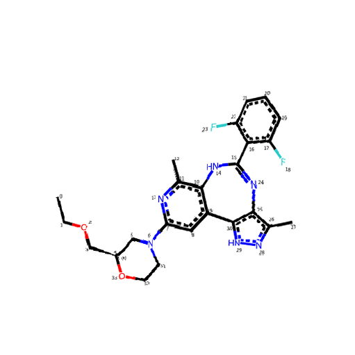 CCOC[C@H]1CN(c2cc3c(c(C)n2)NC(c2c(F)cccc2F)=Nc2c(C)n[nH]c2-3)CCO1